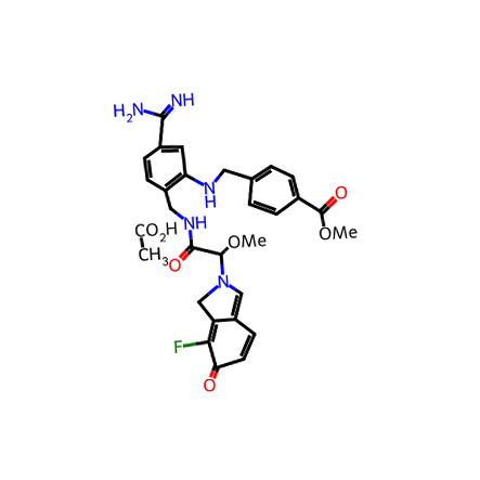 CC(=O)O.COC(=O)c1ccc(CNc2cc(C(=N)N)ccc2CNC(=O)C(OC)N2C=C3C=CC(=O)C(F)=C3C2)cc1